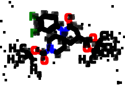 CC(C)(C)OC(=O)N1CCC2(CC1)CC(B1OC(C)(C)C(C)(C)O1)CC(=O)N2c1ccc(F)c(F)c1